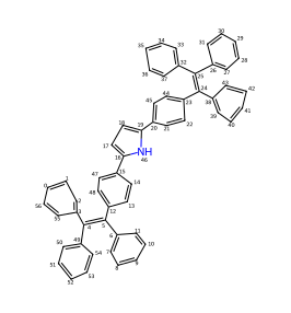 c1ccc(C(=C(c2ccccc2)c2ccc(-c3ccc(-c4ccc(C(=C(c5ccccc5)c5ccccc5)c5ccccc5)cc4)[nH]3)cc2)c2ccccc2)cc1